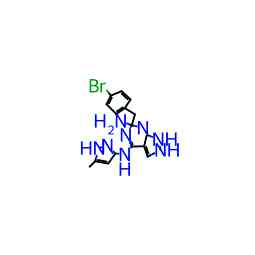 Cc1cc(NC2=NC(N)(Cc3ccc(Br)cc3)N=C3NNC=C32)n[nH]1